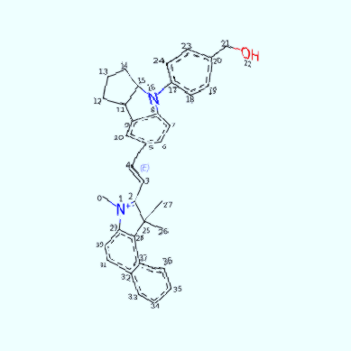 C[N+]1=C(/C=C/c2ccc3c(c2)C2CCCC2N3c2ccc(CO)cc2)C(C)(C)c2c1ccc1ccccc21